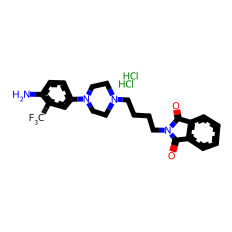 Cl.Cl.Nc1ccc(N2CCN(CCCCN3C(=O)c4ccccc4C3=O)CC2)cc1C(F)(F)F